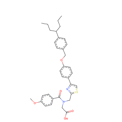 CCCC(CCC)c1ccc(COc2ccc(-c3csc(CN(CC(=O)O)C(=O)c4ccc(OC)cc4)n3)cc2)cc1